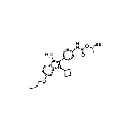 CCC(C)[C@@H](C)OC(=O)Nc1ccc(-c2c(N)c3ccc(OCCF)cc3n2C2CCC2)cc1